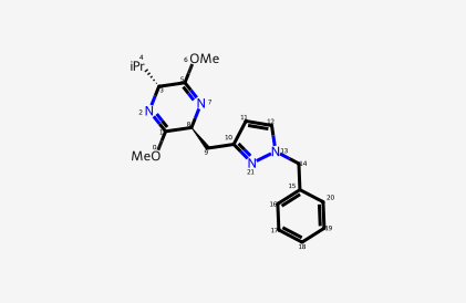 COC1=N[C@H](C(C)C)C(OC)=N[C@H]1Cc1ccn(Cc2ccccc2)n1